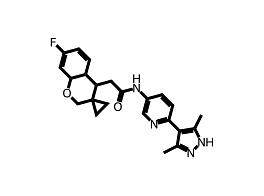 Cc1n[nH]c(C)c1-c1ccc(NC(=O)CC2C3C=CC(F)=CC3OCC23CC3)cn1